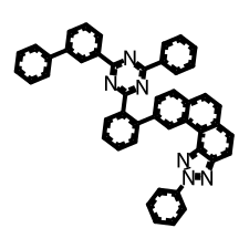 c1ccc(-c2cccc(-c3nc(-c4ccccc4)nc(-c4ccccc4-c4ccc5ccc6ccc7nn(-c8ccccc8)nc7c6c5c4)n3)c2)cc1